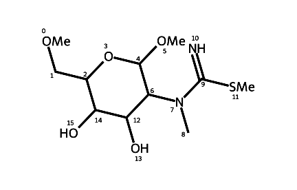 COCC1OC(OC)C(N(C)C(=N)SC)C(O)C1O